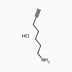 C#CCCCCCN.Cl